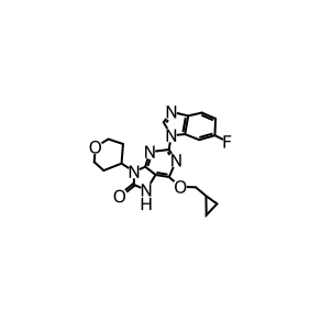 O=c1[nH]c2c(OCC3CC3)nc(-n3cnc4ccc(F)cc43)nc2n1C1CCOCC1